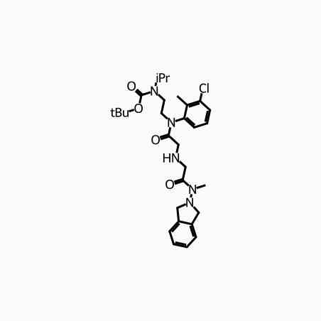 Cc1c(Cl)cccc1N(CCN(C(=O)OC(C)(C)C)C(C)C)C(=O)CNCC(=O)N(C)N1Cc2ccccc2C1